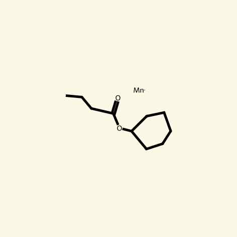 CCCC(=O)OC1CCCCC1.[Mn]